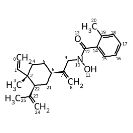 C=C[C@]1(C)CC[C@@H](C(=C)CN(O)C(=O)c2ccccc2C)C[C@H]1C(=C)C